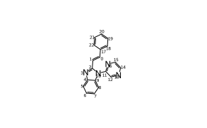 C(=Cc1nc2ccccc2n1-c1cnccn1)c1ccccc1